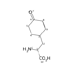 NC(CC1CCC(=O)CC1)C(=O)O